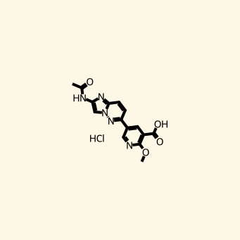 COc1ncc(-c2ccc3nc(NC(C)=O)cn3n2)cc1C(=O)O.Cl